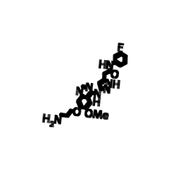 COc1cc2c(Nc3cc(CC(=O)Nc4cccc(F)c4)[nH]n3)ncnc2cc1OCCCN